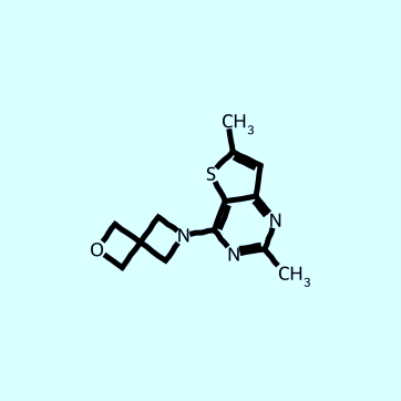 Cc1nc(N2CC3(COC3)C2)c2sc(C)cc2n1